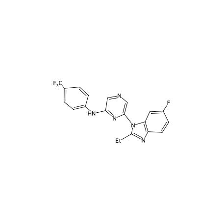 CCc1nc2ccc(F)cc2n1-c1cncc(Nc2ccc(C(F)(F)F)cc2)n1